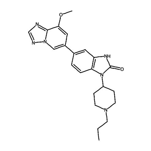 CCCN1CCC(n2c(=O)[nH]c3cc(-c4cc(OC)c5ncnn5c4)ccc32)CC1